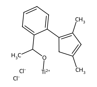 CC1=CC(C)=C(c2ccccc2C(C)[O][Ti+2])C1.[Cl-].[Cl-]